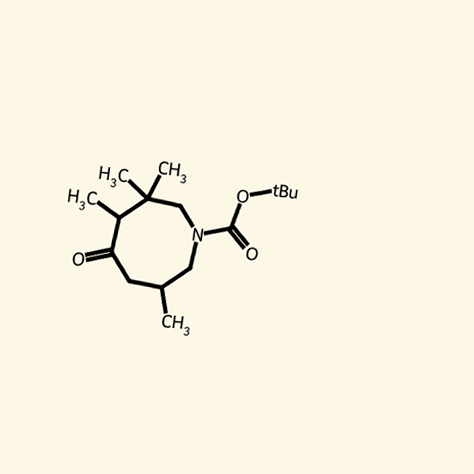 CC1CC(=O)C(C)C(C)(C)CN(C(=O)OC(C)(C)C)C1